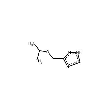 CC(C)OCc1nc[nH]n1